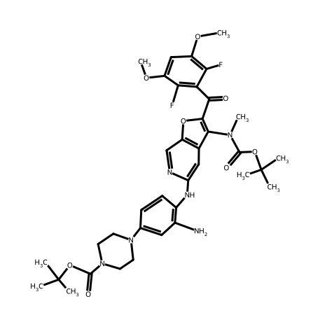 COc1cc(OC)c(F)c(C(=O)c2oc3cnc(Nc4ccc(N5CCN(C(=O)OC(C)(C)C)CC5)cc4N)cc3c2N(C)C(=O)OC(C)(C)C)c1F